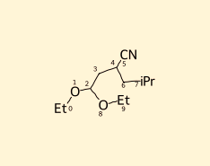 CCOC(CC(C#N)CC(C)C)OCC